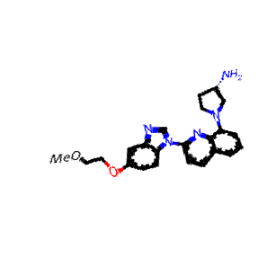 COCCOc1ccc2c(c1)ncn2-c1ccc2cccc(N3CC[C@H](N)C3)c2n1